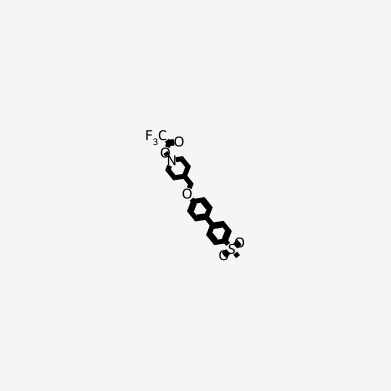 CS(=O)(=O)c1ccc(-c2ccc(OCC3CCN(OC(=O)C(F)(F)F)CC3)cc2)cc1